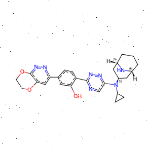 Oc1cc(-c2cc3c(nn2)OCCO3)ccc1-c1ncc(N(C2CC2)[C@@H]2C[C@H]3CCC[C@@H](C2)N3)nn1